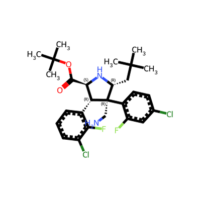 CC(C)(C)C[C@H]1N[C@H](C(=O)OC(C)(C)C)[C@@H](c2cccc(Cl)c2F)[C@]1(CN)c1ccc(Cl)cc1F